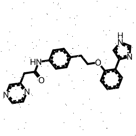 O=C(Cc1cnccn1)Nc1ccc(CCOc2ccccc2-c2c[nH]cn2)cc1